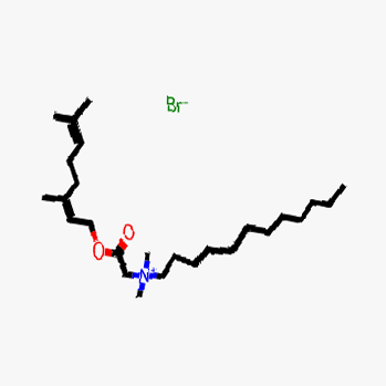 CCCCCCCCCCCC[N+](C)(C)CC(=O)OCC=C(C)CCC=C(C)C.[Br-]